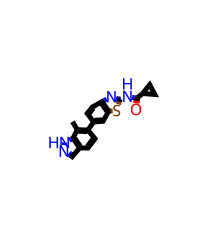 Cc1c(-c2ccc3nc(NC(=O)C4CC4)sc3c2)ccc2cn[nH]c12